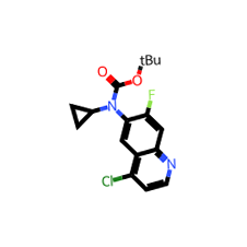 CC(C)(C)OC(=O)N(c1cc2c(Cl)ccnc2cc1F)C1CC1